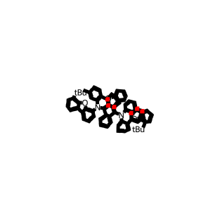 Cc1ccc(-c2ccccc2)c(N(c2cccc3c2oc2c(C(C)(C)C)cccc23)c2c3ccccc3c(N(c3ccccc3-c3ccccc3)c3cccc4c3oc3c(C(C)(C)C)cccc34)c3c2oc2ccccc23)c1